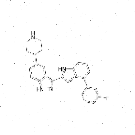 Fc1cccc(-c2cccc3[nH]c(-c4n[nH]c5ccc(C6CCNCC6)cc45)cc23)c1